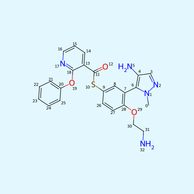 Cn1ncc(N)c1-c1cc(SC(=O)c2cccnc2Oc2ccccc2)ccc1OCCN